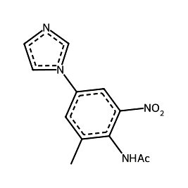 CC(=O)Nc1c(C)cc(-n2ccnc2)cc1[N+](=O)[O-]